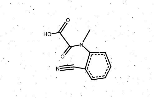 CN(C(=O)C(=O)O)c1ccccc1C#N